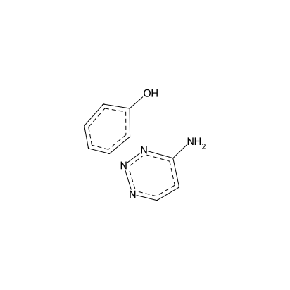 Nc1ccnnn1.Oc1ccccc1